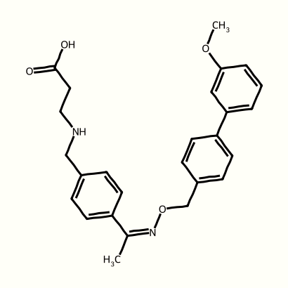 COc1cccc(-c2ccc(CON=C(C)c3ccc(CNCCC(=O)O)cc3)cc2)c1